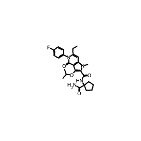 CCc1cc2c(c(OC(C)C)c(C(=O)NC3(C(N)=O)CCCC3)n2C)c(=O)n1-c1ccc(F)cc1